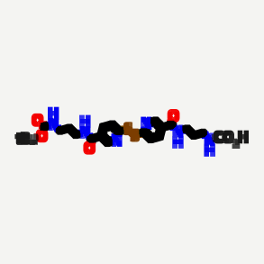 CC(C)(C)OC(=O)NCCCNC(=O)c1ccc(SSc2ccc(C(=O)NCCCNC(=O)O)cn2)nc1